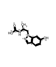 C[C@@H](Cn1ncc2ccc(O)cc21)NC(=O)O